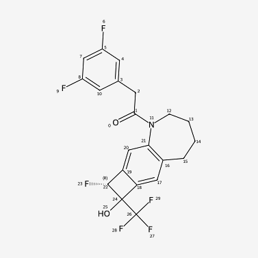 O=C(Cc1cc(F)cc(F)c1)N1CCCCc2cc3c(cc21)[C@@H](F)C3(O)C(F)(F)F